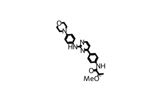 CO[C@@H](C)C(=O)Nc1ccc(-c2ccnc(Nc3ccc(N4CCOCC4)cc3)n2)cc1